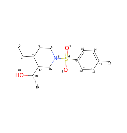 CCC1CCN(S(=O)(=O)c2ccc(C)cc2)CC1[C@H](C)O